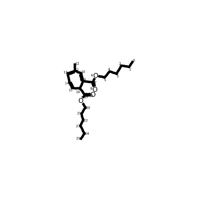 CCCCCCOC(=O)C1=CC(C)=CC=CC1C(=O)OCCCCCC